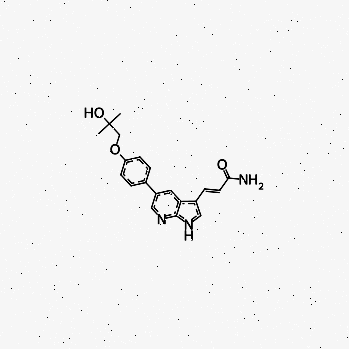 CC(C)(O)COc1ccc(-c2cnc3[nH]cc(C=CC(N)=O)c3c2)cc1